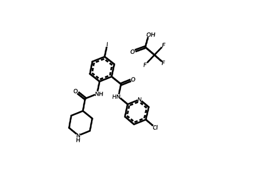 O=C(Nc1ccc(Cl)cn1)c1cc(I)ccc1NC(=O)C1CCNCC1.O=C(O)C(F)(F)F